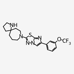 FC(F)(F)Oc1cccc(-c2cn3nc(N4CCCC5(CCCN5)CC4)sc3n2)c1